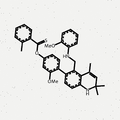 COc1ccccc1NCc1c(-c2ccc(OC(=S)c3ccccc3C)cc2OC)ccc2c1C(C)=CC(C)(C)N2